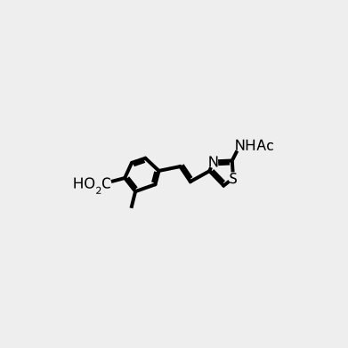 CC(=O)Nc1nc(C=Cc2ccc(C(=O)O)c(C)c2)cs1